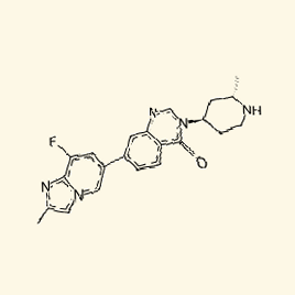 Cc1cn2cc(-c3ccc4c(=O)n([C@@H]5CCN[C@@H](C)C5)cnc4c3)cc(F)c2n1